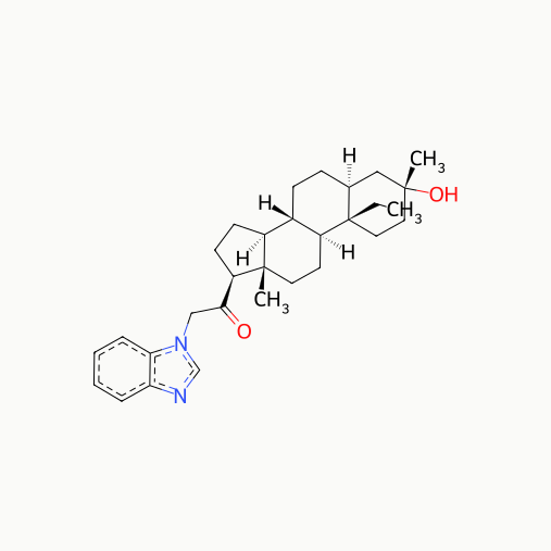 CC[C@]12CC[C@@](C)(O)C[C@@H]1CC[C@H]1[C@@H]3CC[C@H](C(=O)Cn4cnc5ccccc54)[C@@]3(C)CC[C@@H]12